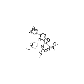 CCOC(=O)N(c1c(C(=O)N(C)OC)oc2ccc(-c3cnn(C)c3)nc12)[C@H]1CCO[C@@H](CC)C1